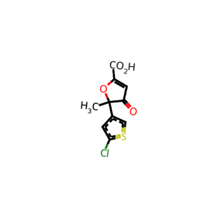 CC1(c2csc(Cl)c2)OC(C(=O)O)=CC1=O